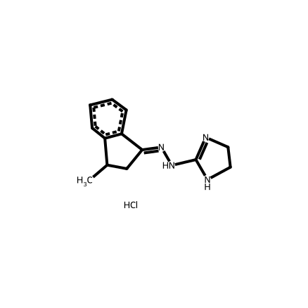 CC1CC(=NNC2=NCCN2)c2ccccc21.Cl